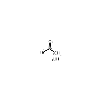 C[C](=O)[Ta].[LiH]